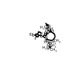 CCOc1cc2ccnc(O[C@@H]3C[C@H]4C(=O)N[C@]5(C(=O)NS(=O)(=O)C6(C)CC6)C[C@H]5/C=C\CC[C@H](C)C[C@@H](C)[C@H](NC(=O)OC(C)(C)C(C)(F)F)C(=O)N4C3)c2cc1F